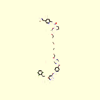 Cc1ncsc1-c1ccc(CNC(=O)[C@@H]2C[C@@H](O)CN2C(=O)[C@@H](NC(=O)CCOCCOCCOCCC(=O)N2[C@H](C)CN(C(=O)c3ccc(NC(=O)c4cc(OCCc5c(Cl)ccc(F)c5Cl)c(N)nn4)cc3)C[C@@H]2C)C(C)(C)C)cc1